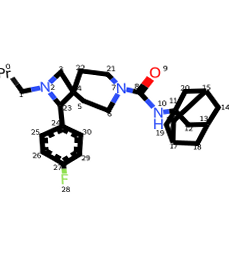 CC(C)CN1CC2(CCN(C(=O)NC34CC5CC(CC(C5)C3)C4)CC2)C1c1ccc(F)cc1